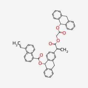 C=Cc1cccc2c(C(=O)OC3c4ccccc4Cc4cc(C(=C)C(=O)OCC(=O)OC5c6ccccc6Cc6ccccc65)ccc43)cccc12